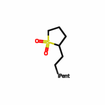 CCCC(C)CCC1CCCS1(=O)=O